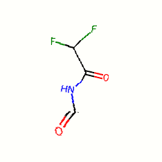 O=[C]NC(=O)C(F)F